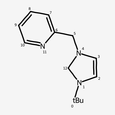 CC(C)(C)N1C=CN(Cc2ccccn2)C1